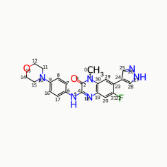 Cn1c(=O)c(Nc2ccc(N3CCOCC3)cc2)nc2cc(F)c(-c3cn[nH]c3)cc21